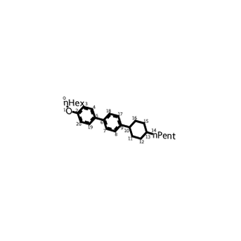 CCCCCCOc1ccc(-c2ccc(C3CCC(CCCCC)CC3)cc2)cc1